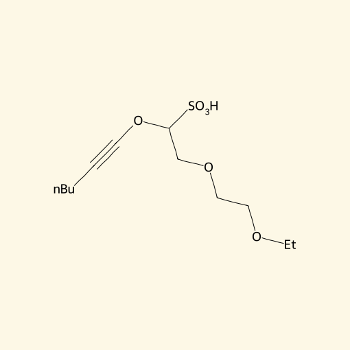 CCCCC#COC(COCCOCC)S(=O)(=O)O